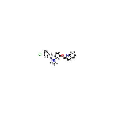 Clc1ccc(/C=C(\Cn2cccn2)c2ccc(OCc3ccc4ccccc4n3)cc2)cc1